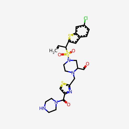 C=CC(c1cc2ccc(Cl)cc2s1)S(=O)(=O)N1CCN(Cc2nc(C(=O)N3CCNCC3)cs2)C(C=O)C1